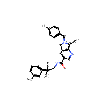 COc1cccc(C(C)(C)CNC(=O)c2cnc3c(c2)CN(Cc2ccc(C(F)(F)F)cc2)C3C(C)C)c1